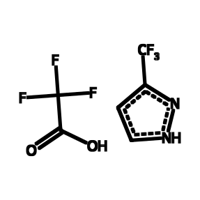 FC(F)(F)c1cc[nH]n1.O=C(O)C(F)(F)F